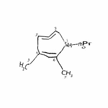 CCC[SiH]1C=CC(C)=C1C